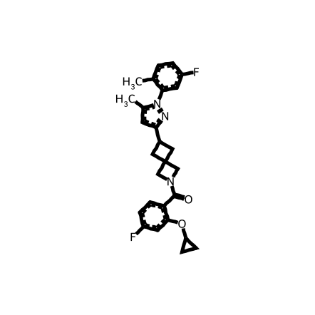 Cc1ccc(F)cc1-n1nc(C2CC3(C2)CN(C(=O)c2ccc(F)cc2OC2CC2)C3)cc1C